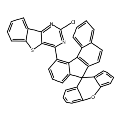 Clc1nc(-c2cccc3c2-c2c(ccc4ccccc24)C32c3ccccc3Oc3ccccc32)c2sc3ccccc3c2n1